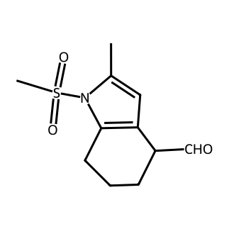 Cc1cc2c(n1S(C)(=O)=O)CCCC2C=O